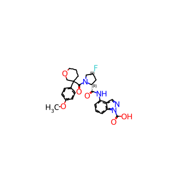 COc1ccc(C2(C(=O)N3C[C@H](F)C[C@@H]3C(=O)Nc3cccc4c3cnn4C(=O)O)CCCOC2)cc1